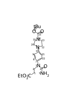 CCOC(=O)CCN(C(N)=O)c1ccc(N2CCN(C(=O)OC(C)(C)C)CC2)cc1